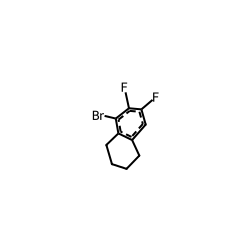 Fc1cc2c(c(Br)c1F)CCCC2